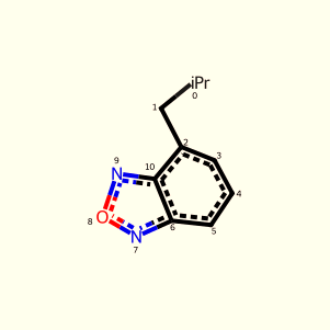 CC(C)Cc1cccc2nonc12